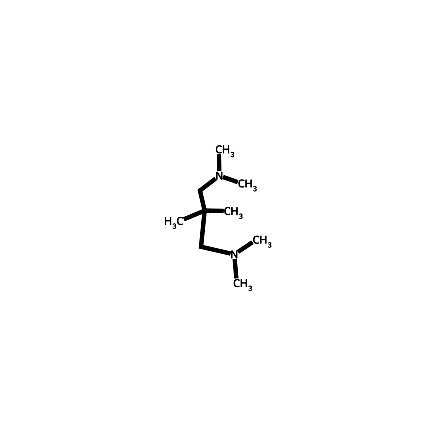 CN(C)CC(C)(C)CN(C)C